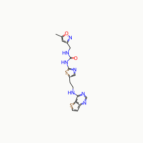 Cc1cc(CNC(=O)Nc2ncc(CCNc3ncnc4ccsc34)s2)no1